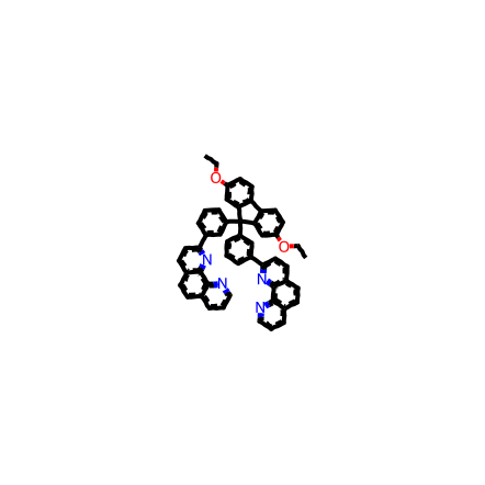 CCOc1ccc2c(c1)C(c1cccc(-c3ccc4ccc5cccnc5c4n3)c1)(c1cccc(-c3ccc4ccc5cccnc5c4n3)c1)c1cc(OCC)ccc1-2